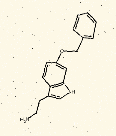 NCCc1c[nH]c2cc(OCc3ccccc3)ccc12